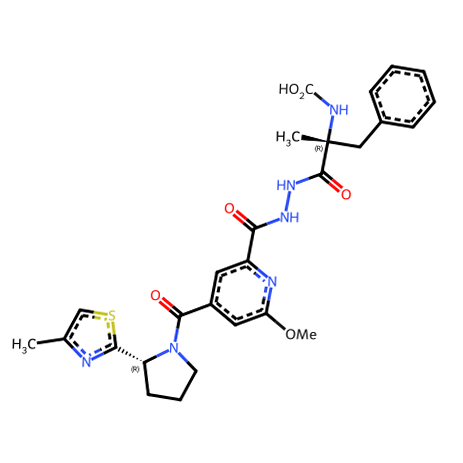 COc1cc(C(=O)N2CCC[C@@H]2c2nc(C)cs2)cc(C(=O)NNC(=O)[C@@](C)(Cc2ccccc2)NC(=O)O)n1